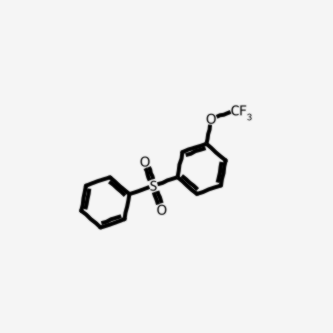 O=S(=O)(c1ccccc1)c1cccc(OC(F)(F)F)c1